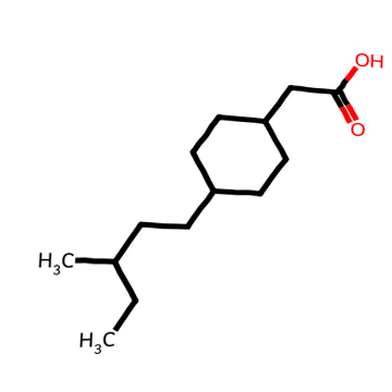 CCC(C)CCC1CCC(CC(=O)O)CC1